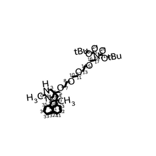 CC1NCC2(COCCOCCOCCOCCN(C(=O)OC(C)(C)C)C(=O)OC(C)(C)C)CN1C(c1ccccc1)C(C)(c1ccccc1)C2